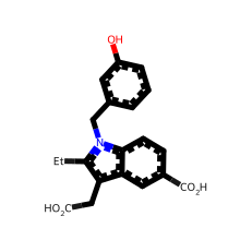 CCc1c(CC(=O)O)c2cc(C(=O)O)ccc2n1Cc1cccc(O)c1